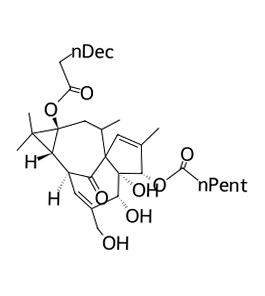 CCCCCCCCCCCC(=O)O[C@@]12CC(C)C34C=C(C)[C@H](OC(=O)CCCCC)[C@@]3(O)[C@H](O)C(CO)=C[C@H](C4=O)[C@@H]1C2(C)C